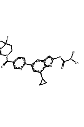 CCN(CC)C(=O)Oc1cc2cc(-c3ccc(C(=O)N4CCC(F)(F)CC4)cn3)cc(C3CC3)c2o1